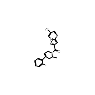 CC1CC(c2ccccc2F)=CCN1C(=O)c1cc2ncc(Cl)cn2n1